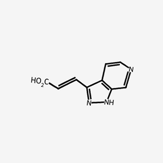 O=C(O)/C=C/c1n[nH]c2cnccc12